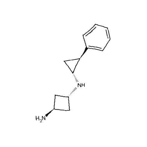 N[C@H]1C[C@H](N[C@@H]2C[C@H]2c2ccccc2)C1